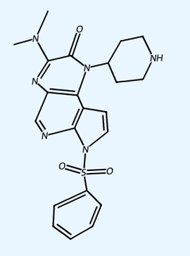 CN(C)c1nc2cnc3c(ccn3S(=O)(=O)c3ccccc3)c2n(C2CCNCC2)c1=O